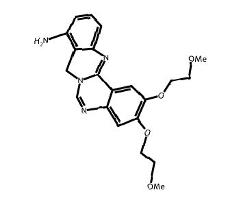 COCCOc1cc2c(cc1OCCOC)C1=Nc3cccc(N)c3CN1C=N2